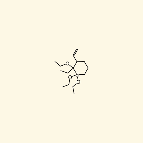 C=CC1CCC[Si](OCC)(OCC)C1(CC)OCC